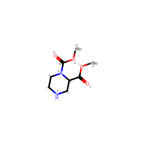 CC(C)(C)OC(=O)C1CNCCN1C(=O)OC(C)(C)C